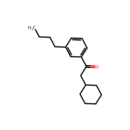 CCCCc1cccc(C(=O)CC2CCCCC2)c1